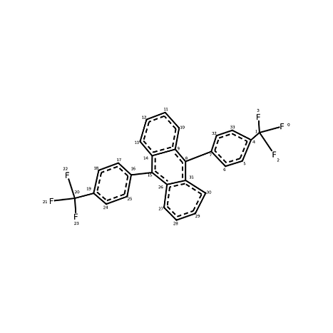 FC(F)(F)c1ccc(-c2c3ccccc3c(-c3ccc(C(F)(F)F)cc3)c3ccccc23)cc1